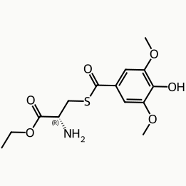 CCOC(=O)[C@@H](N)CSC(=O)c1cc(OC)c(O)c(OC)c1